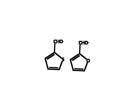 O=[C]c1ccco1.O=[C]c1cccs1